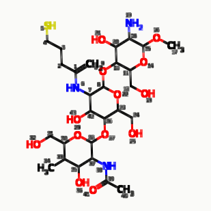 C=C(CCCS)NC1C(OC2C(CO)OC(OC)C(N)C2O)OC(CO)C(OC2OC(CO)C(C)C(O)C2NC(C)=O)C1O